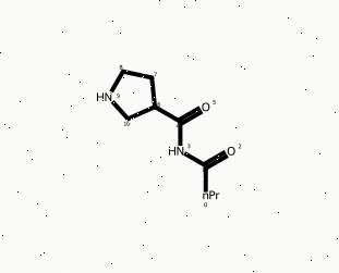 CCCC(=O)NC(=O)C1CCNC1